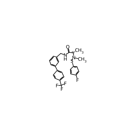 C[C@@H](C(=O)NCc1cccc(-c2ccc(C(F)(F)F)cc2)c1)N(C)Sc1ccc(F)cc1